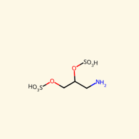 NCC(COS(=O)(=O)O)OS(=O)(=O)O